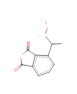 CCC([SiH2]OC(C)C)c1cccc2c1C(=O)OC2=O